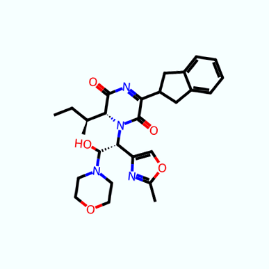 CC[C@H](C)[C@@H]1C(=O)N=C(C2Cc3ccccc3C2)C(=O)N1[C@H](c1coc(C)n1)C(O)N1CCOCC1